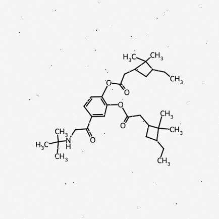 CCC1CC(CC(=O)Oc2ccc(C(=O)CNC(C)(C)C)cc2OC(=O)CC2CC(CC)C2(C)C)C1(C)C